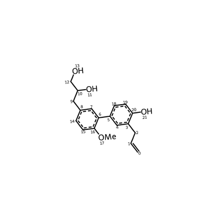 C=CCc1cc(-c2cc(CC(O)CO)ccc2OC)ccc1O